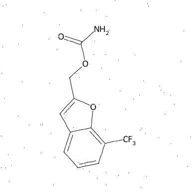 NC(=O)OCc1cc2cccc(C(F)(F)F)c2o1